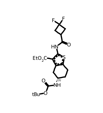 CCOC(=O)c1c(NC(=O)C2CC(F)(F)C2)sc2c1C[C@@H](NC(=O)OC(C)(C)C)CC2